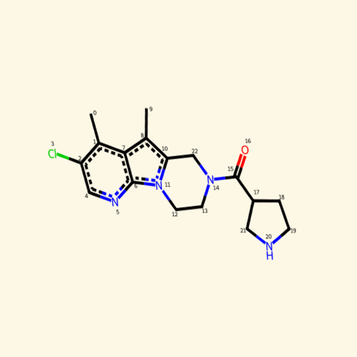 Cc1c(Cl)cnc2c1c(C)c1n2CCN(C(=O)C2CCNC2)C1